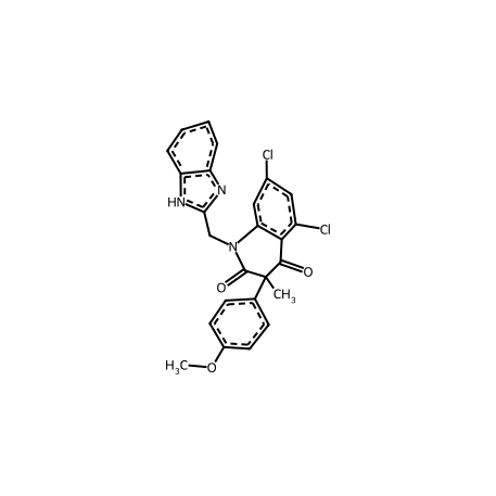 COc1ccc(C2(C)C(=O)c3c(Cl)cc(Cl)cc3N(Cc3nc4ccccc4[nH]3)C2=O)cc1